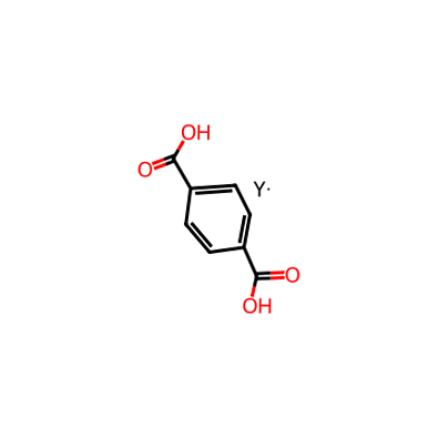 O=C(O)c1ccc(C(=O)O)cc1.[Y]